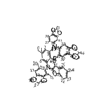 Cc1cc2c3c(c1)N(c1c(C)cc4c(c1C)OCO4)c1oc4ccccc4c1B3c1cc3c(cc1N2c1ccc2c(c1)OCO2)OCO3